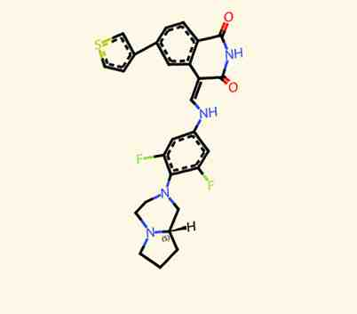 O=C1NC(=O)c2ccc(-c3ccsc3)cc2C1=CNc1cc(F)c(N2CCN3CCC[C@H]3C2)c(F)c1